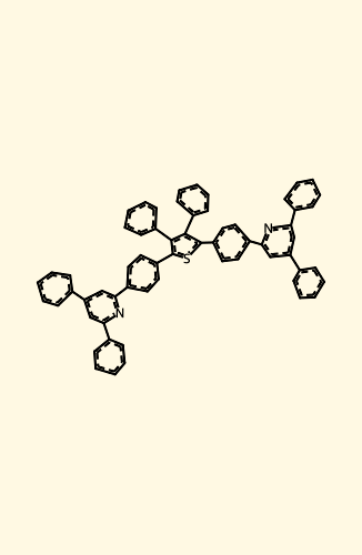 c1ccc(-c2cc(-c3ccccc3)nc(-c3ccc(-c4sc(-c5ccc(-c6cc(-c7ccccc7)cc(-c7ccccc7)n6)cc5)c(-c5ccccc5)c4-c4ccccc4)cc3)c2)cc1